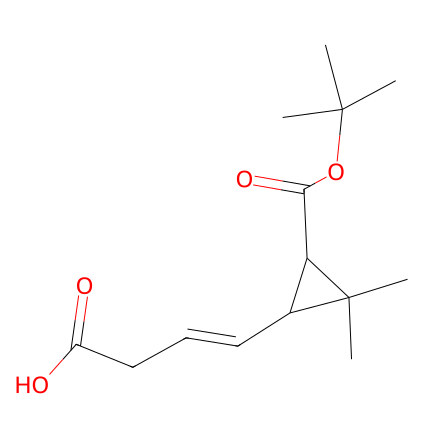 CC(C)(C)OC(=O)C1C(/C=C/CC(=O)O)C1(C)C